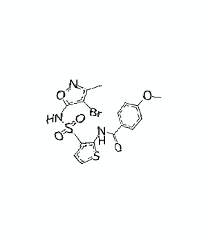 COc1ccc(C(=O)Nc2sccc2S(=O)(=O)Nc2onc(C)c2Br)cc1